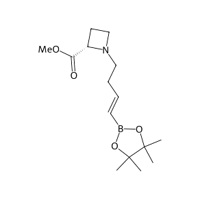 COC(=O)[C@@H]1CCN1CC/C=C/B1OC(C)(C)C(C)(C)O1